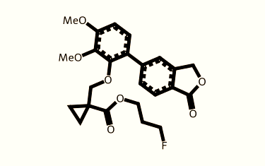 COc1ccc(-c2ccc3c(c2)COC3=O)c(OCC2(C(=O)OCCCF)CC2)c1OC